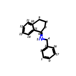 c1ccc(CN=C2CCCc3ccccc32)cc1